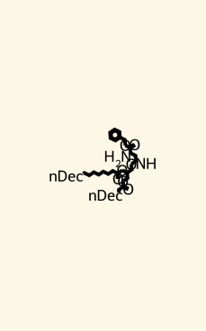 CCCCCCCCCCCCCCCCCC(=O)OC(COC(=N)CC(N)C(=O)OCc1ccccc1)COC(=O)CCCCCCCCCCC